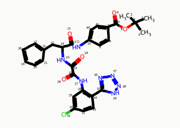 CC(C)(C)OC(=O)c1ccc(NC(=O)C(Cc2ccccc2)NC(=O)C(=O)Nc2cc(Cl)ccc2-c2nnn[nH]2)cc1